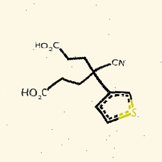 N#CC(CCC(=O)O)(CCC(=O)O)c1ccsc1